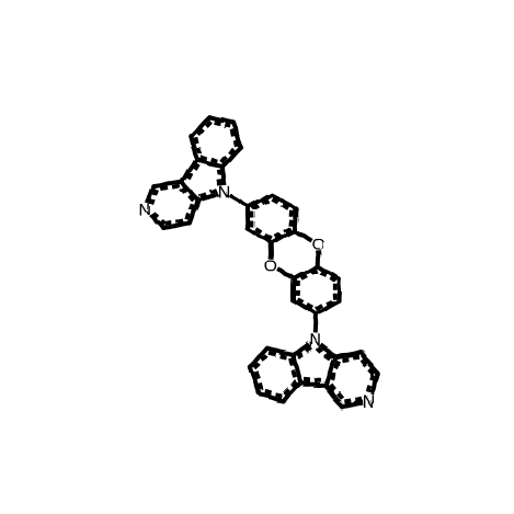 c1ccc2c(c1)c1cnccc1n2-c1ccc2c(c1)Oc1cc(-n3c4ccccc4c4cnccc43)ccc1O2